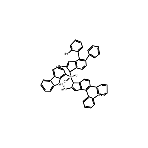 CCCC1=Cc2c(ccc(-c3ccccc3)c2-c2ccccc2C(C)C)[CH]1[Zr]([Cl])([Cl])([c]1cccc2c1[SiH2]c1ccccc1-2)[CH]1C(CCC)=Cc2c1ccc(-c1ccccc1)c2-c1ccccc1C(C)C